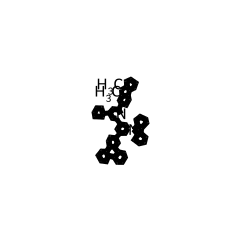 CC1(C)c2ccccc2-c2ccc(-c3cc(-c4ccccc4)cc(-c4cc(-c5ccc6c7ccccc7c7ccccc7c6c5)cc(-n5c6ccccc6c6ccccc65)c4)n3)cc21